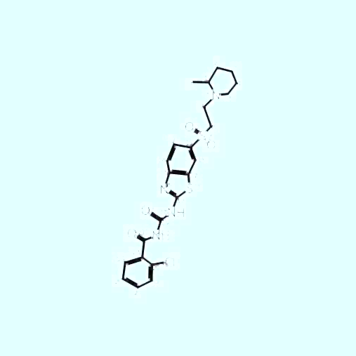 CC1CCCCN1CCS(=O)(=O)c1ccc2nc(NC(=O)NC(=O)c3ccccc3Cl)sc2c1